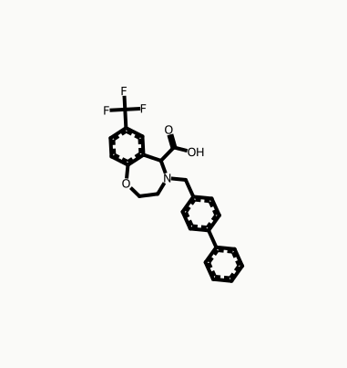 O=C(O)C1c2cc(C(F)(F)F)ccc2OCCN1Cc1ccc(-c2ccccc2)cc1